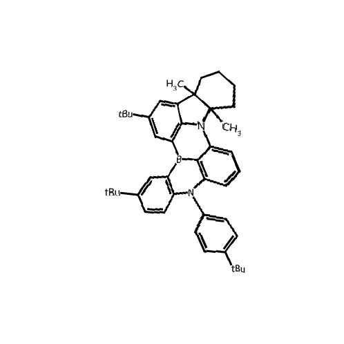 CC(C)(C)c1ccc(N2c3ccc(C(C)(C)C)cc3B3c4cc(C(C)(C)C)cc5c4N(c4cccc2c43)C2(C)CCCCC52C)cc1